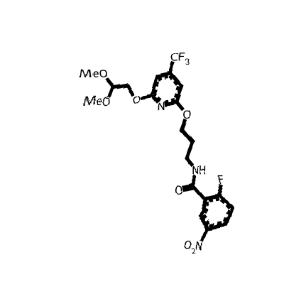 COC(COc1cc(C(F)(F)F)cc(OCCCNC(=O)c2cc([N+](=O)[O-])ccc2F)n1)OC